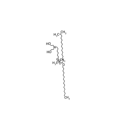 CCCCCCCCCCCCCCCCOC(CCCCCCCCCCCCCC(C)C)O[Si](C)(C)OCCCCCCN(CCO)CCO